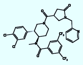 CN(C(=O)c1cc(C(F)(F)F)cc(C(F)(F)F)c1)[C@@H]1CCN(C(=O)C2CC(=O)N(Cc3ccccn3)C2)C[C@H]1c1ccc(Cl)c(Cl)c1